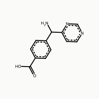 NC(c1ccc(C(=O)O)cc1)c1ccncn1